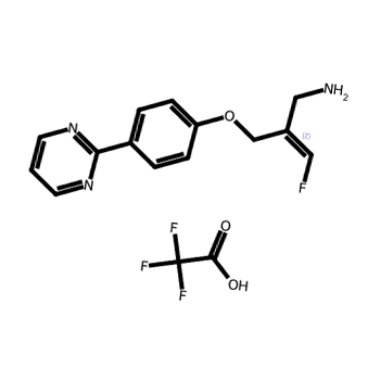 NC/C(=C/F)COc1ccc(-c2ncccn2)cc1.O=C(O)C(F)(F)F